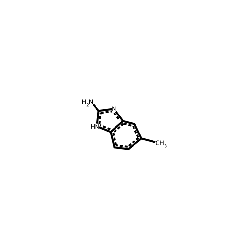 Cc1ccc2[nH]c(N)nc2c1